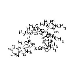 CO[C@]1(C)C[C@@H](C)CN(C)C(C2CN(Cc3ccccn3)C2)COC(=O)C(C)(C)C(=O)[C@H](C)[C@H]1O[C@@H]1O[C@H](C)C[C@H](N(C)C)[C@H]1O